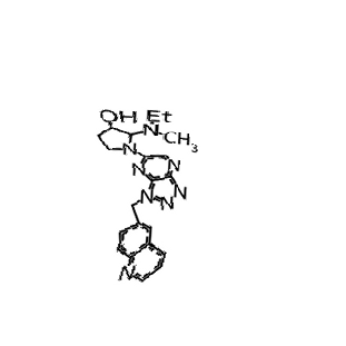 CCN(C)C1[C@H](O)CCN1c1cnc2nnn(Cc3ccc4ncccc4c3)c2n1